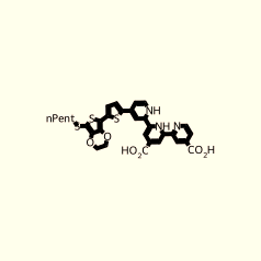 CCCCCSc1sc(-c2ccc(C3=CC(C4=CC(C(=O)O)=CC(c5cc(C(=O)O)ccn5)N4)NC=C3)s2)c2c1OCCO2